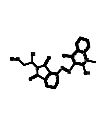 CCC(COC)N1C(=O)c2cccc(N=Nc3c(O)n(C)c4ccccc4c3=O)c2C1=O